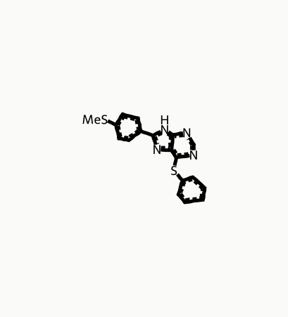 CSc1ccc(-c2nc3c(Sc4ccccc4)ncnc3[nH]2)cc1